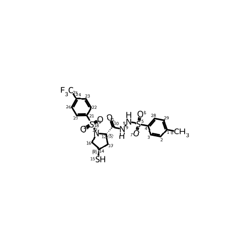 Cc1ccc(S(=O)(=O)NNC(=O)[C@@H]2C[C@@H](S)CN2S(=O)(=O)c2ccc(C(F)(F)F)cc2)cc1